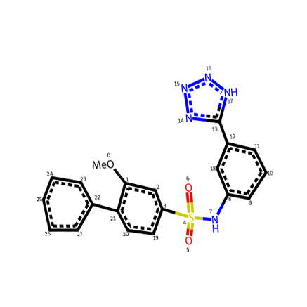 COc1cc(S(=O)(=O)Nc2cccc(-c3nnn[nH]3)c2)ccc1-c1ccccc1